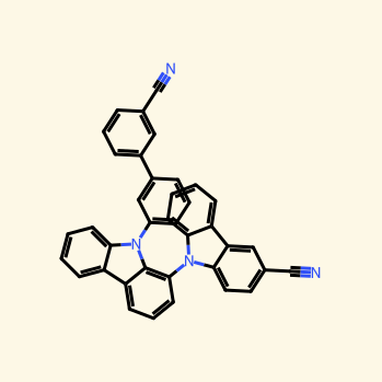 N#Cc1cccc(-c2cccc(-n3c4ccccc4c4cccc(-n5c6ccccc6c6cc(C#N)ccc65)c43)c2)c1